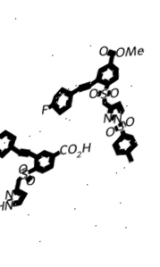 COC(=O)c1ccc(S(=O)(=O)Cc2ccn(S(=O)(=O)c3ccc(C)cc3)n2)c(C#Cc2ccc(F)cc2)c1.O=C(O)c1ccc(S(=O)(=O)Cc2cc[nH]n2)c(C#Cc2ccc(F)cc2)c1